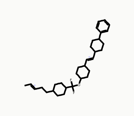 C/C=C/CCC1CCC(C(F)(F)OC2CCC(/C=C/C3CCC(c4ccccc4)CC3)CC2)CC1